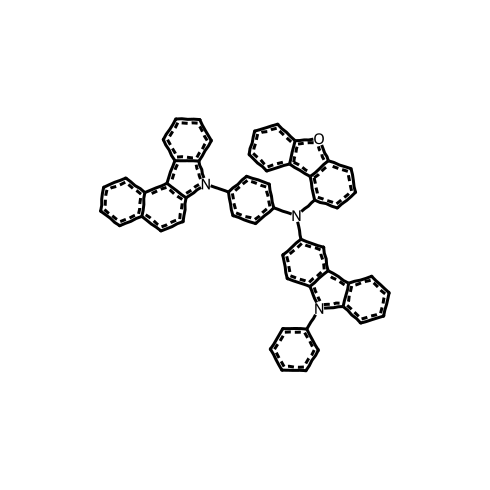 c1ccc(-n2c3ccccc3c3cc(N(c4ccc(-n5c6ccccc6c6c7ccccc7ccc65)cc4)c4cccc5oc6ccccc6c45)ccc32)cc1